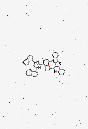 c1ccc(-c2nc3ccccc3c3sc4c5ccccc5n(-c5ccc(-c6nc(-c7cccc8ccccc78)nc(-c7cccc8ccccc78)n6)cc5)c4c23)cc1